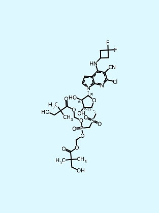 CC(C)(CO)C(=O)OCOP(=O)(CS(=O)(=O)C[C@H]1O[C@@H](n2ccc3c(NC4CC(F)(F)C4)c(C#N)c(Cl)nc32)[C@H](O)[C@@H]1O)OCOC(=O)C(C)(C)CO